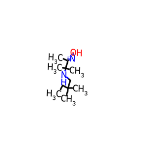 CCC(C)(CC)CNC(C)(C)/C(C)=N/O